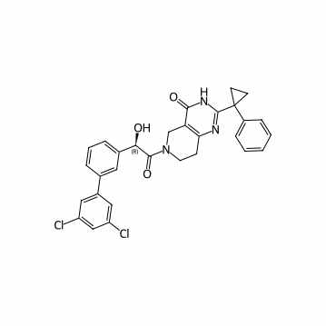 O=C([C@H](O)c1cccc(-c2cc(Cl)cc(Cl)c2)c1)N1CCc2nc(C3(c4ccccc4)CC3)[nH]c(=O)c2C1